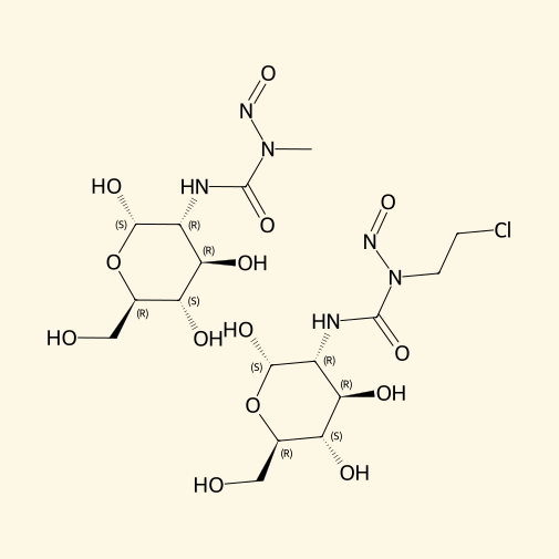 CN(N=O)C(=O)N[C@@H]1[C@@H](O)[C@H](O)[C@@H](CO)O[C@@H]1O.O=NN(CCCl)C(=O)N[C@@H]1[C@@H](O)[C@H](O)[C@@H](CO)O[C@@H]1O